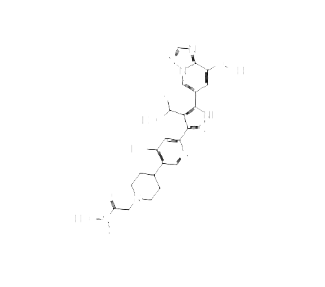 COc1cc(-c2[nH]nc(-c3cc(C)c(C4CCN(CC(=O)N(C)C)CC4)cn3)c2C(C)C)cn2ncnc12